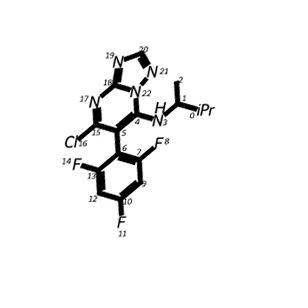 CC(C)C(C)Nc1c(-c2c(F)cc(F)cc2F)c(Cl)nc2ncnn12